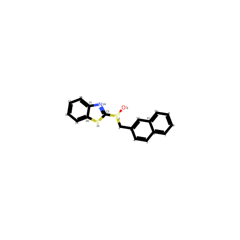 [O-][S@@+](Cc1ccc2ccccc2c1)c1nc2ccccc2s1